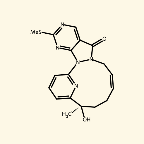 CSc1ncc2c(=O)n3n(c2n1)-c1cccc(n1)[C@](C)(O)CC/C=C\C3